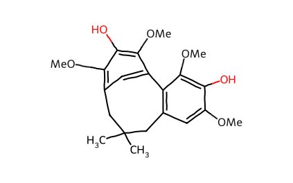 COc1cc2c(c(OC)c1O)-c1cc(c(OC)c(O)c1OC)CC(C)(C)C2